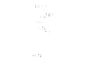 NCCCCCCCCC(=O)NCC(O)CC(=O)NCCC(=O)O